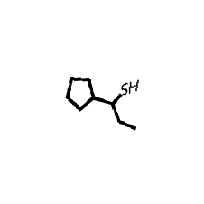 CCC(S)C1CCCC1